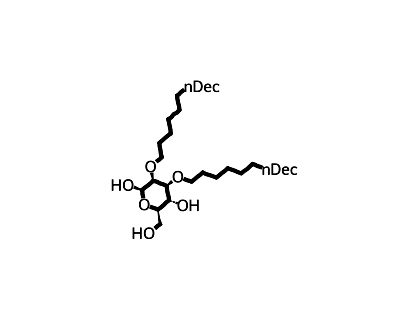 CCCCCCCCCCCCCCCCO[C@H]1[C@H](O)[C@@H](CO)O[C@@H](O)[C@H]1OCCCCCCCCCCCCCCCC